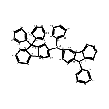 c1ccc(C2c3ccccc3-c3cc(N(c4ccccc4)c4ccc5c(c4)C(c4ccccc4)(c4ccccc4)c4ccccc4-5)ccc32)cc1